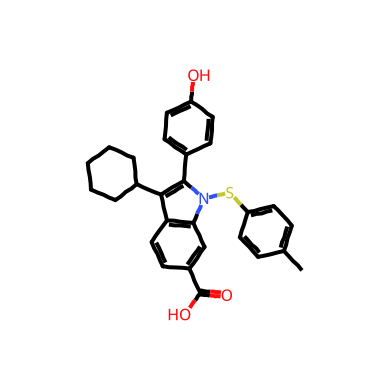 Cc1ccc(Sn2c(-c3ccc(O)cc3)c(C3CCCCC3)c3ccc(C(=O)O)cc32)cc1